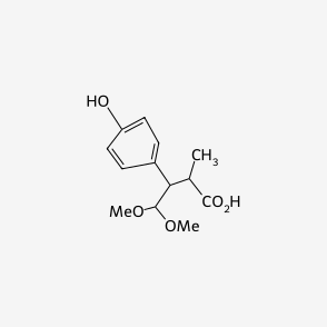 COC(OC)C(c1ccc(O)cc1)C(C)C(=O)O